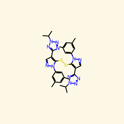 Cc1cc(C)cc(-n2ncc(-c3nnn(C(C)C)n3)c2SSc2c(-c3nnn(C(C)C)n3)cnn2-c2cc(C)cc(C)c2)c1